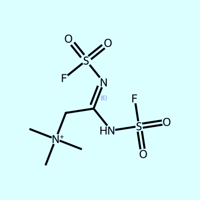 C[N+](C)(C)C/C(=N\S(=O)(=O)F)NS(=O)(=O)F